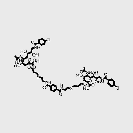 CC(=O)N[C@H]1[C@H]([C@H](O)[C@H](O)CNC(=O)c2ccc(Cl)cc2)O[C@@](OCCCSCCNC(=O)c2ccc(C(=O)NCCSCCCO[C@]3(C(=O)O)C[C@H](O)[C@@H](NC(C)=O)[C@H]([C@H](O)[C@@H](O)CNC(=O)c4ccc(Cl)cc4)O3)cc2)(C(=O)O)C[C@@H]1O